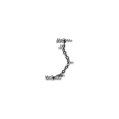 CO[Si](CCCNCC(O)COc1ccc(C(C)(C)c2ccc(OCC(O)COc3ccc(C(C)(C)c4ccc(OCC(O)CNCCC[Si](OC)(OC)OC)cc4)cc3)cc2)cc1)(OC)OC